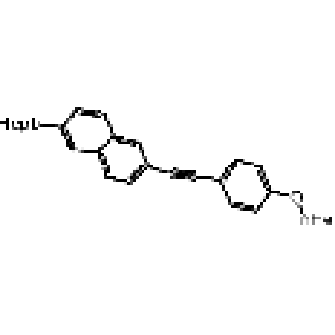 CCCCCCCc1ccc2cc(C#Cc3ccc(OCCCCCC)cc3)ccc2c1